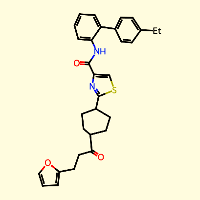 CCc1ccc(-c2ccccc2NC(=O)c2csc(C3CCC(C(=O)CCc4ccco4)CC3)n2)cc1